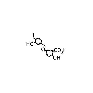 C=Cc1ccc(COc2ccc(O)c(C(=O)O)c2)cc1O